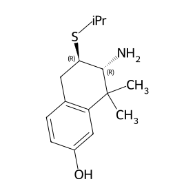 CC(C)S[C@@H]1Cc2ccc(O)cc2C(C)(C)[C@H]1N